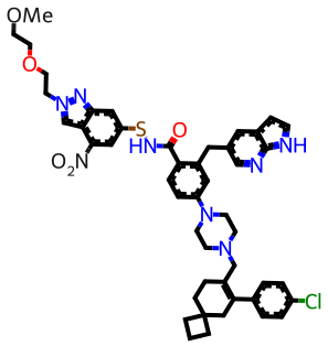 COCCOCCn1cc2c([N+](=O)[O-])cc(SNC(=O)c3ccc(N4CCN(CC5=C(c6ccc(Cl)cc6)CC6(CCC6)CC5)CC4)cc3Cc3cnc4[nH]ccc4c3)cc2n1